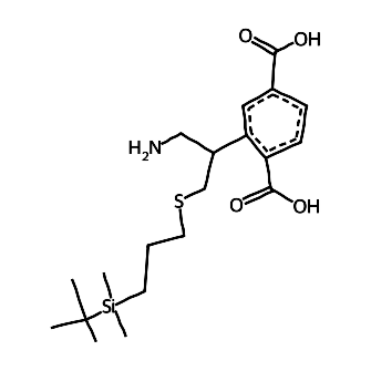 CC(C)(C)[Si](C)(C)CCCSCC(CN)c1cc(C(=O)O)ccc1C(=O)O